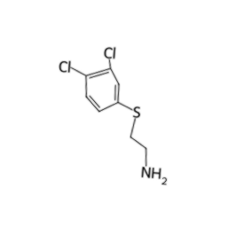 NCCSc1ccc(Cl)c(Cl)c1